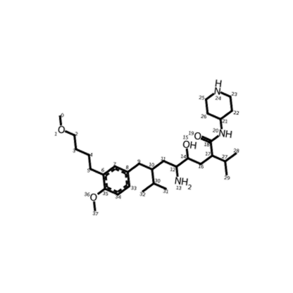 COCCCCc1cc(CC(CC(N)C(O)CC(C(=O)NC2CCNCC2)C(C)C)C(C)C)ccc1OC